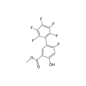 COC(=O)c1cc(-c2c(F)c(F)c(F)c(F)c2F)c(F)cc1O